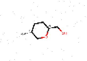 CC(C)[C@@H]1CC[C@@H](CO)OC1